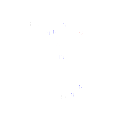 Cc1nn2c(OC(=O)NCc3cccc(-c4nccn4C)c3)cc(C=O)nc2c1I